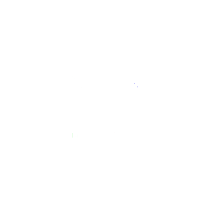 Br.O=C1c2cnccc2CCC1Br